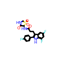 O=C(CCc1c(-c2ccc(F)cc2)[nH]c2c(F)cc(F)cc12)N[C@@H]1C(=O)NCS1(=O)=O